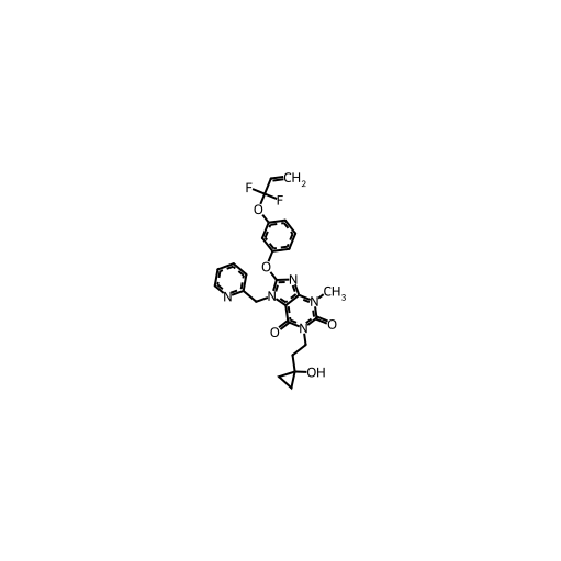 C=CC(F)(F)Oc1cccc(Oc2nc3c(c(=O)n(CCC4(O)CC4)c(=O)n3C)n2Cc2ccccn2)c1